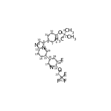 CC(C)(C)Oc1ccc(-c2cnc3ccc(-c4cnc(OCC(F)(F)F)c(F)c4)cn23)cc1